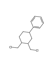 ClCC1CCC(c2ccccc2)CC1CCl